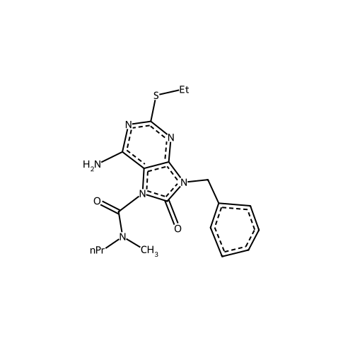 CCCN(C)C(=O)n1c(=O)n(Cc2ccccc2)c2nc(SCC)nc(N)c21